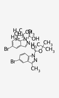 Cc1cc(Br)cc2c1[N+](C(=O)O)(C(C)(C)C)N=C2.Cc1nn(C(=O)OC(C)(C)C)c2ccc(Br)cc12